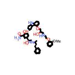 CC(CCc1ccccc1)NCC(O)c1ccc(O)c(C(N)=O)c1.COc1ccccc1OCCNCC(O)COc1cccc2[nH]c3ccccc3c12